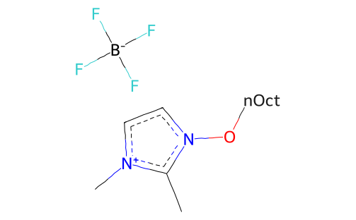 CCCCCCCCOn1cc[n+](C)c1C.F[B-](F)(F)F